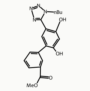 CCCCn1nnnc1-c1cc(-c2cccc(C(=O)OC)c2)c(O)cc1O